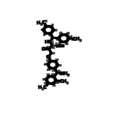 CCCC[C@@H](NC(c1ccc(C)cc1)c1ccc(C)cc1)C(=O)COc1ccc(C(N)c2ccc(C)cc2C)cc1